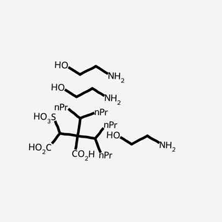 CCCC(CCC)C(C(=O)O)(C(CCC)CCC)C(C(=O)O)S(=O)(=O)O.NCCO.NCCO.NCCO